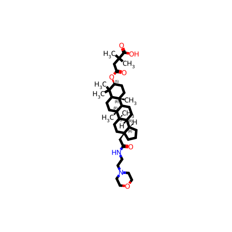 CC(C)(CC(=O)O[C@H]1CC[C@@]2(C)C(CC[C@]3(C)C2CC[C@@H]2[C@H]4CCC[C@]4(CC(=O)NCCN4CCOCC4)CC[C@]23C)C1(C)C)C(=O)O